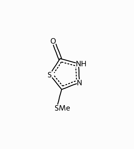 CSc1n[nH]c(=O)s1